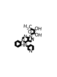 C[C@H]1O[C@@H](n2ncc3c2N=CN(c2ccccc2)C3Nc2cccnc2)[C@@H](O)[C@H]1O